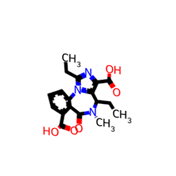 CCc1nc(C(=O)O)c2n1-c1cccc(C(=O)O)c1C(=O)N(C)C2CC